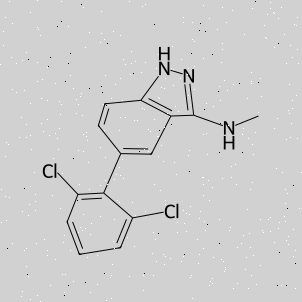 CNc1n[nH]c2ccc(-c3c(Cl)cccc3Cl)cc12